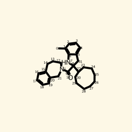 Cc1cccc2c1NC(C(=O)N1CCCc3ccccc3C1)(C1CCCCCCCC1)C2